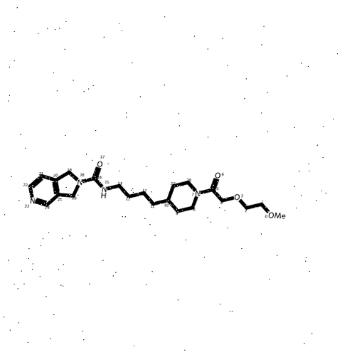 COCCOCC(=O)N1CCC(CCCCNC(=O)N2Cc3ccncc3C2)CC1